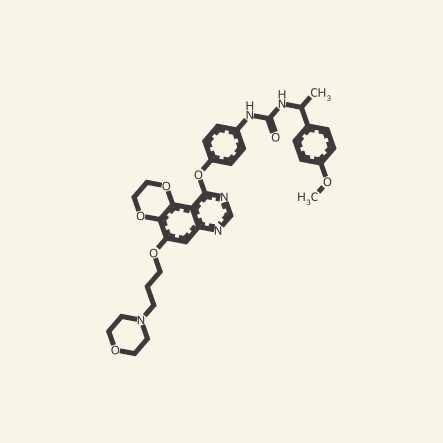 COc1ccc(C(C)NC(=O)Nc2ccc(Oc3ncnc4cc(OCCCN5CCOCC5)c5c(c34)OCCO5)cc2)cc1